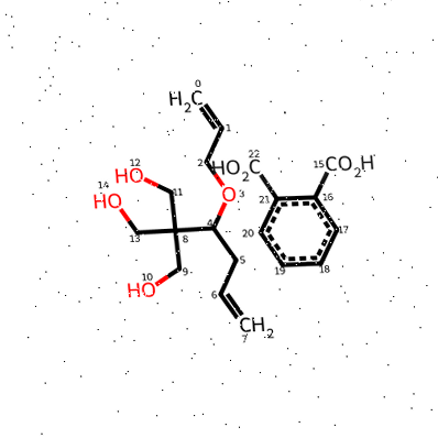 C=CCOC(CC=C)C(CO)(CO)CO.O=C(O)c1ccccc1C(=O)O